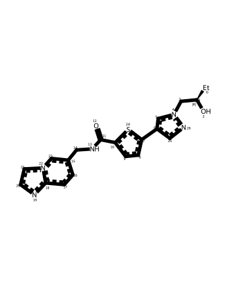 CC[C@@H](O)Cn1cc(-c2ccc(C(=O)NCc3ccc4nccn4c3)s2)cn1